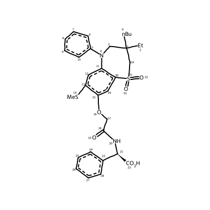 CCCCC1(CC)CN(c2ccccc2)c2cc(SC)c(OCC(=O)N[C@@H](C(=O)O)c3ccccc3)cc2S(=O)(=O)C1